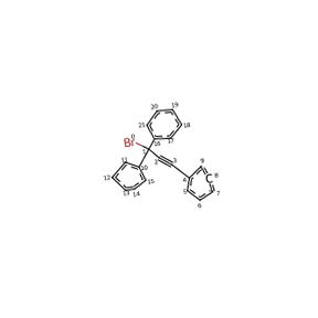 BrC(C#Cc1ccccc1)(c1ccccc1)c1ccccc1